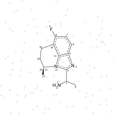 CC(N)c1nc2ccc(F)c3c2n1[C@@H](C)CC3